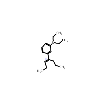 CC/C=C(\CCC)c1cccc(N(CC)CC)c1